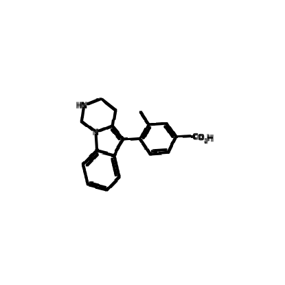 Cc1cc(C(=O)O)ccc1-c1c2n(c3ccccc13)CNCC2